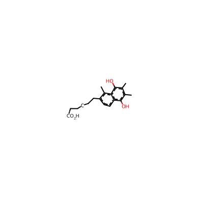 Cc1c(C)c(O)c2c(C)c(CCCCCC(=O)O)ccc2c1O